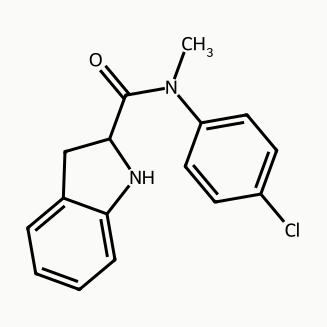 CN(C(=O)C1Cc2ccccc2N1)c1ccc(Cl)cc1